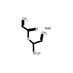 C=CC(=O)OC(C=C)S(=O)(=O)O.[NaH]